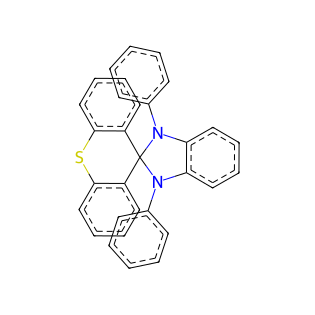 c1ccc(N2c3ccccc3N(c3ccccc3)C23c2ccccc2Sc2ccccc23)cc1